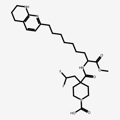 COC(=O)C(CCCCCCCc1ccc2c(n1)NCCC2)NC(=O)C1(CC(F)F)CCN(C(=O)O)CC1